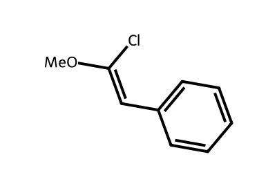 COC(Cl)=Cc1ccccc1